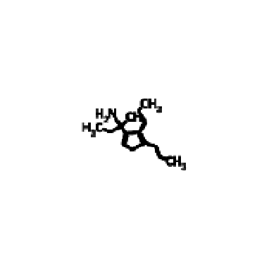 CCCC1=C(CCC)C(C(C)(N)CC)=CC1